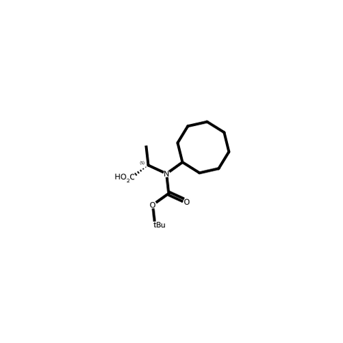 C[C@@H](C(=O)O)N(C(=O)OC(C)(C)C)C1CCCCCCC1